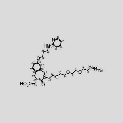 [N-]=[N+]=NCCOCCOCCOCCN1Cc2cc(OCCCNc3ccccn3)ccc2C[C@@H](CC(=O)O)C1=O